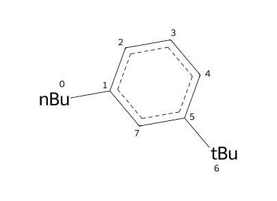 CCCCc1cccc(C(C)(C)C)c1